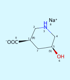 O=C([O-])[C@H]1CNC[C@@H](O)C1.[Na+]